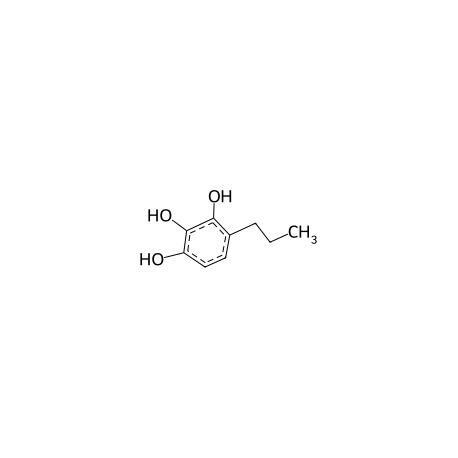 CCCc1ccc(O)c(O)c1O